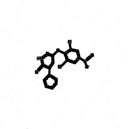 O=c1[nH]nc(Oc2c(Cl)cc([N+](=O)[O-])cc2Cl)cc1-c1ccccc1